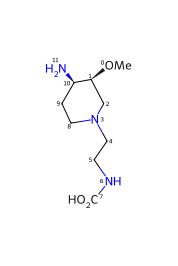 CO[C@H]1CN(CCNC(=O)O)CC[C@H]1N